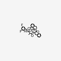 CC(C(=O)NCc1cc(F)cc(F)c1)C(=O)NC(Cc1ccccc1)C(=O)N1CCc2cccc(Cl)c2C1